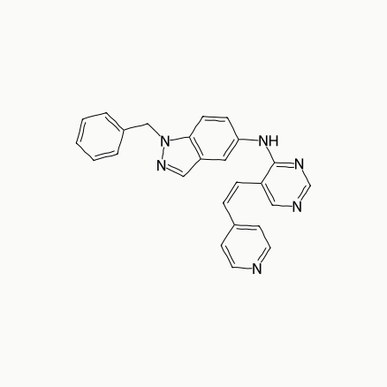 C(=Cc1cncnc1Nc1ccc2c(cnn2Cc2ccccc2)c1)c1ccncc1